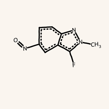 Cn1nc2ccc(N=O)cc2c1F